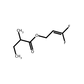 CCC(C)C(=O)OCC=C(F)F